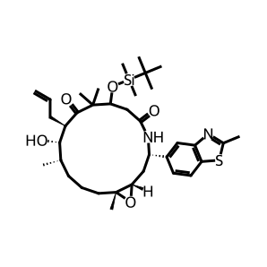 C=CC[C@H]1C(=O)C(C)(C)C(O[Si](C)(C)C(C)(C)C)CC(=O)N[C@H](c2ccc3sc(C)nc3c2)C[C@@H]2O[C@]2(C)CCC[C@H](C)[C@@H]1O